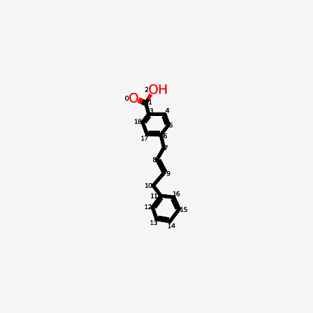 O=C(O)c1ccc(C/C=C/Cc2ccccc2)cc1